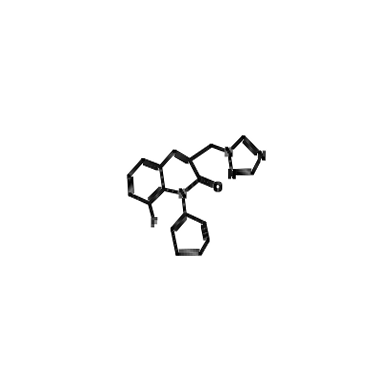 O=c1c(Cn2cncn2)cc2cccc(F)c2n1-c1ccccc1